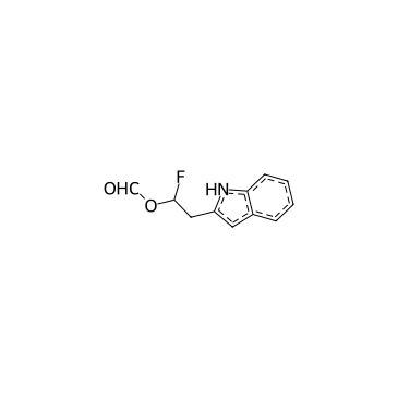 O=COC(F)Cc1cc2ccccc2[nH]1